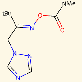 CNC(=O)ON=C(Cn1cncn1)C(C)(C)C